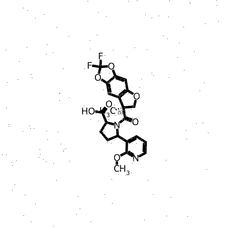 COc1ncccc1C1CCC(C(=O)O)N1C(=O)[C@]1(C)COc2cc3c(cc21)OC(F)(F)O3